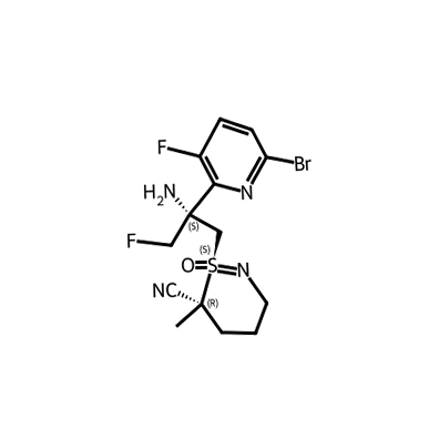 C[C@]1(C#N)CCCN=[S@]1(=O)C[C@@](N)(CF)c1nc(Br)ccc1F